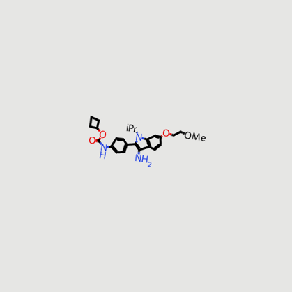 COCCOc1ccc2c(N)c(-c3ccc(NC(=O)OC4CCC4)cc3)n(C(C)C)c2c1